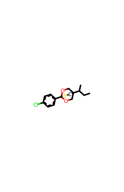 CCC(C)C12COC(c3ccc(Cl)cc3)(OC1)SC2